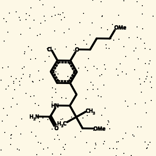 COCCCOc1cc(CC(NC(N)=O)C(C)(C)COC)ccc1Cl